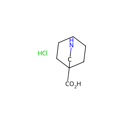 Cl.O=C(O)C12CCC(CC1)NC2